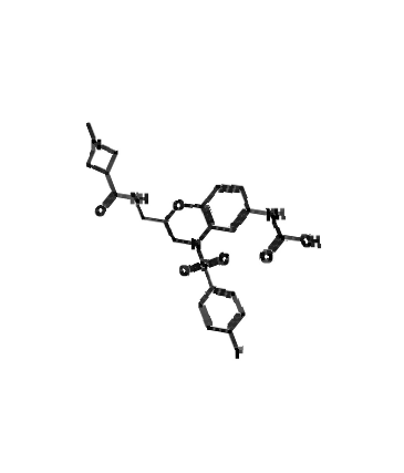 CN1CC(C(=O)NCC2CN(S(=O)(=O)c3ccc(F)cc3)c3cc(NC(=O)O)ccc3O2)C1